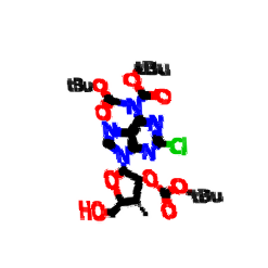 C[C@H]1[C@@H](OC(=O)OC(C)(C)C)[C@H](n2cnc3c(N(C(=O)OC(C)(C)C)C(=O)OC(C)(C)C)nc(Cl)nc32)O[C@@H]1CO